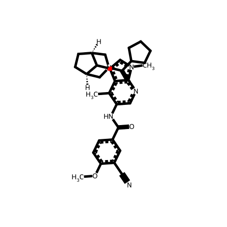 COc1ccc(C(=O)Nc2cnc3c(c(C4[C@@H]5CC[C@H]4CN(C(=O)C4CCCC4)C5)cn3C)c2C)cc1C#N